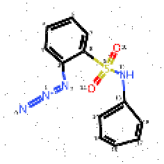 [N-]=[N+]=Nc1ccccc1S(=O)(=O)Nc1ccccc1